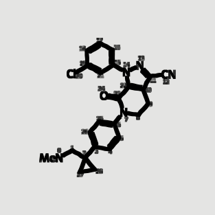 CNCC1(c2ccc(N3CCc4c(C#N)nn(-c5cccc(Cl)c5)c4C3=O)cc2)CC1